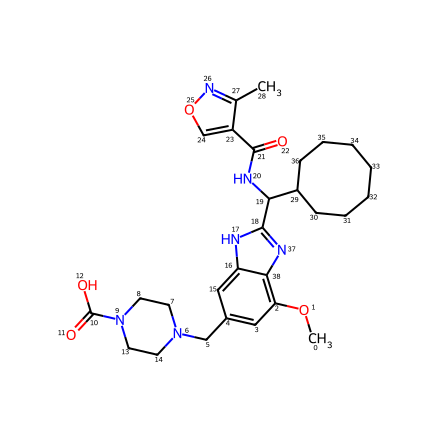 COc1cc(CN2CCN(C(=O)O)CC2)cc2[nH]c(C(NC(=O)c3conc3C)C3CCCCCCC3)nc12